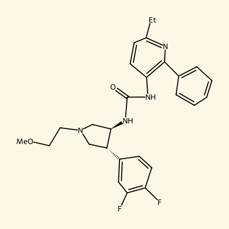 CCc1ccc(NC(=O)N[C@@H]2CN(CCOC)C[C@H]2c2ccc(F)c(F)c2)c(-c2ccccc2)n1